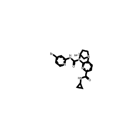 O=C(NC1CC1)c1ccc2c(n1)N(C(=O)Nc1cc(Br)ccn1)[C@H]1CCN2C1